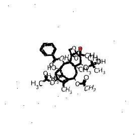 CC(=O)O[C@H]1C[C@@]2(O)[C@@H](OC(=O)c3ccccc3)[C@H]3[C@](C)(C[C@H](OC(C)=O)C(=C1C)C2(C)C)[C@@H](OC(C)(C)O)C[C@H]1OC[C@]13OC(C)=O